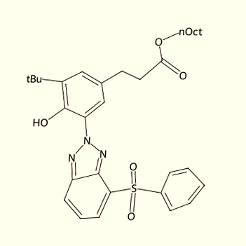 CCCCCCCCOC(=O)CCc1cc(-n2nc3cccc(S(=O)(=O)c4ccccc4)c3n2)c(O)c(C(C)(C)C)c1